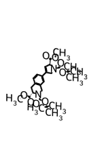 COC(=O)[C@@H]1C=C(c2ccc3c(c2)CN(C(=O)OC(C)(C)C)[C@H](C(=O)OC)C3)CN1C(=O)OC(C)(C)C